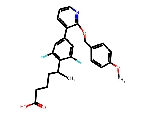 COc1ccc(COc2ncccc2-c2cc(F)c(C(C)CCCC(=O)O)c(F)c2)cc1